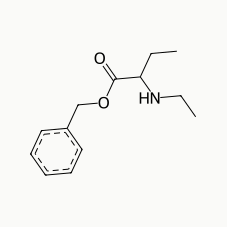 CCNC(CC)C(=O)OCc1ccccc1